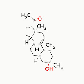 CC(=O)[C@H]1CC[C@H]2[C@@H]3CC[C@@H]4C[C@](C)(O)CC[C@]4(C)C3=CC[C@]12C